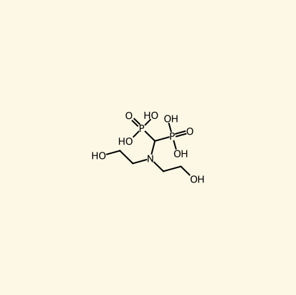 O=P(O)(O)C(N(CCO)CCO)P(=O)(O)O